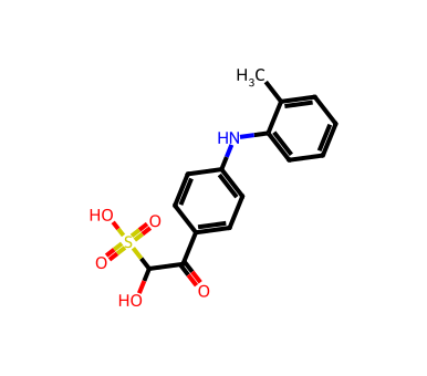 Cc1ccccc1Nc1ccc(C(=O)C(O)S(=O)(=O)O)cc1